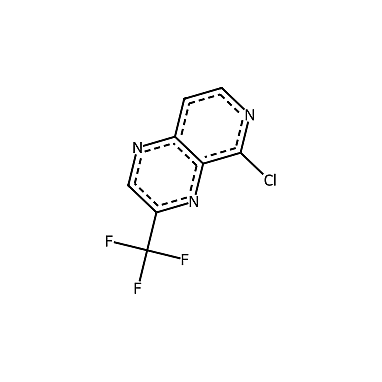 FC(F)(F)c1cnc2ccnc(Cl)c2n1